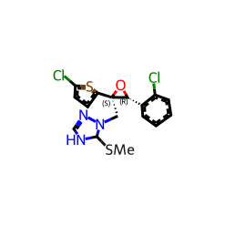 CSC1NC=NN1C[C@]1(c2ccc(Cl)s2)O[C@@H]1c1ccccc1Cl